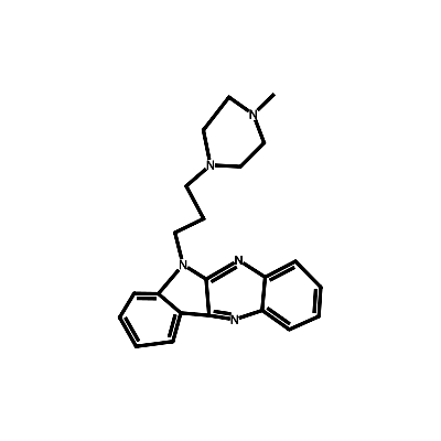 CN1CCN(CCCn2c3ccccc3c3nc4ccccc4nc32)CC1